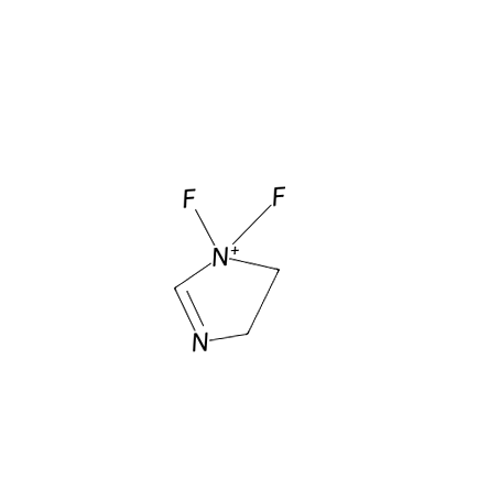 F[N+]1(F)C=NCC1